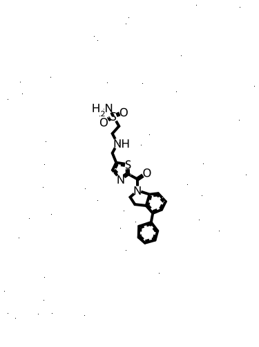 NS(=O)(=O)CCNCc1cnc(C(=O)N2CCc3c(-c4ccccc4)cccc32)s1